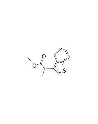 COC(=O)C(C)c1csc2ccccc12